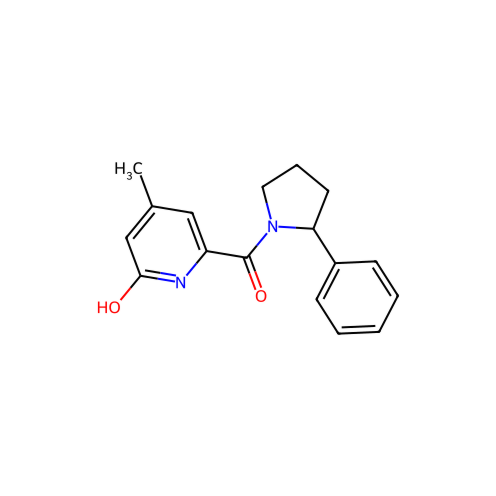 Cc1cc(O)nc(C(=O)N2CCCC2c2ccccc2)c1